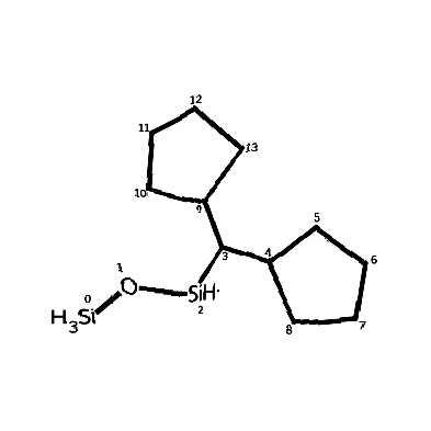 [SiH3]O[SiH]C(C1CCCC1)C1CCCC1